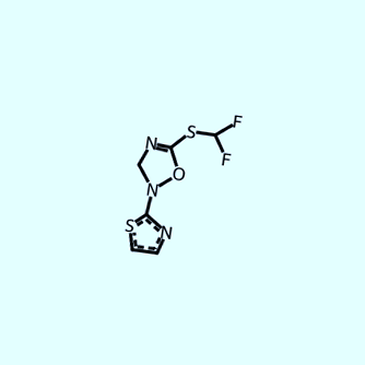 FC(F)SC1=NCN(c2nccs2)O1